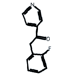 O=C(Cc1ccccc1F)c1ccncc1